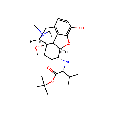 CO[C@@]12CC[C@@H](N[C@@H](C(=O)OC(C)(C)C)C(C)C)[C@@H]3Oc4c(O)ccc5c4[C@@]31CCN(C)[C@@H]2C5